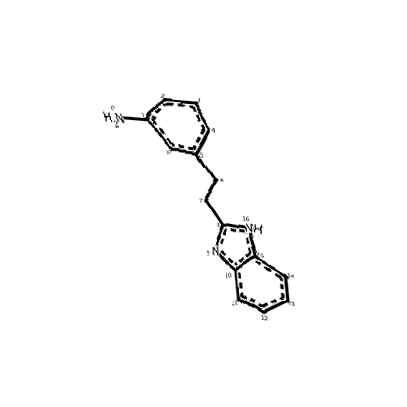 Nc1cccc(CCc2nc3ccccc3[nH]2)c1